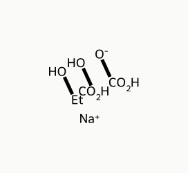 CCO.O=C(O)O.O=C([O-])O.[Na+]